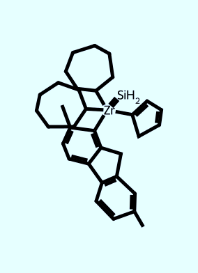 Cc1ccc2c(c1)Cc1c-2ccc(C)[c]1[Zr](=[SiH2])([C]1=CC=CC1)([CH]1CCCCCC1)[CH]1CCCCCC1